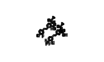 O=C(O)c1cc(C=Cc2ccc(C(F)(F)F)c(Cl)c2)ccc1NC(=O)C1CC1.O=C(O)c1cc(C=Cc2ccc(Cl)c(F)c2)ccc1NC(=O)C1CC1